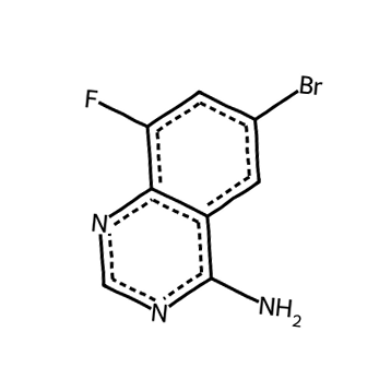 Nc1ncnc2c(F)cc(Br)cc12